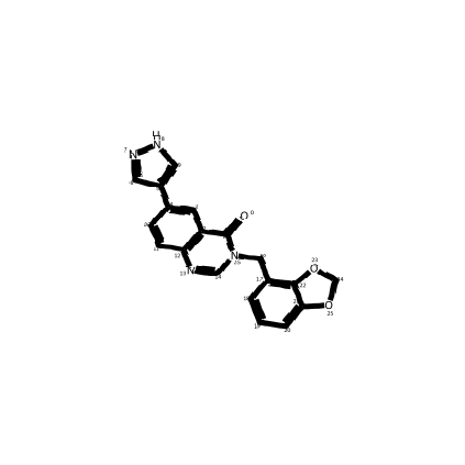 O=c1c2cc(-c3cn[nH]c3)ccc2ncn1Cc1cccc2c1OCO2